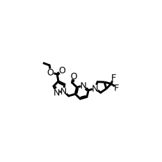 CCOC(=O)c1cnn(Cc2ccc(N3CC4C(C3)C4(F)F)nc2C=O)c1